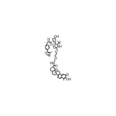 CC1=C(O)C(=O)C=C2C1=CC=C1[C@@]2(C)CC[C@@]2(C)[C@@H]3C[C@](C)(C(=O)NCCOCCOCC(=O)N[C@H](C(=O)N4C[C@H](O)C[C@H]4C(=O)N[C@@H](C)c4ccc(-c5scnc5C)cc4)C(C)(C)C)CC[C@]3(C)CC[C@]12C